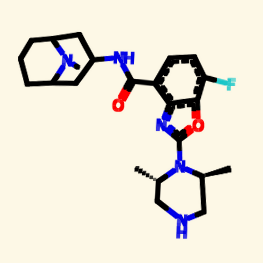 C[C@H]1CNC[C@H](C)N1c1nc2c(C(=O)NC3CC4CCCC(C3)N4C)ccc(F)c2o1